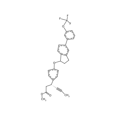 CC#C[C@H](CC(=O)OC)c1ccc(OC2CCc3cc(-c4cccc(OC(F)(F)F)c4)ccc32)cc1